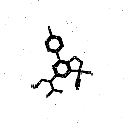 C[C@]1(C#N)COc2c1cc(C(CN)C(F)F)nc2-c1ccc(F)cc1